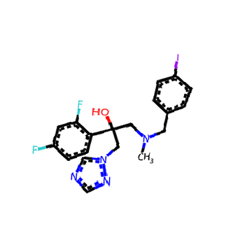 CN(Cc1ccc(I)cc1)CC(O)(Cn1cncn1)c1ccc(F)cc1F